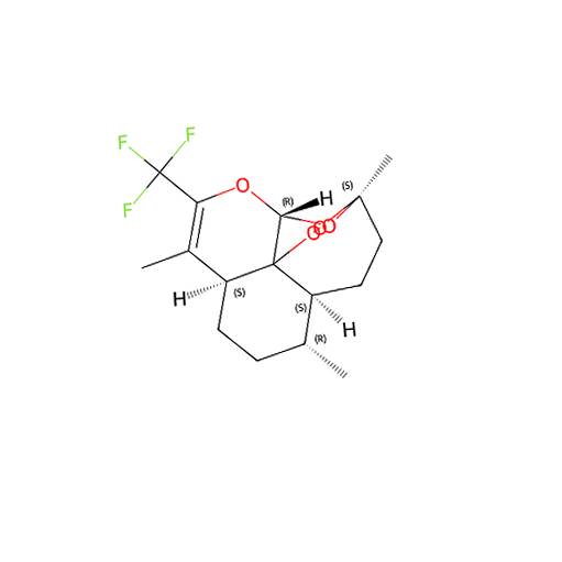 CC1=C(C(F)(F)F)O[C@@H]2O[C@]3(C)CC[C@H]4[C@H](C)CC[C@@H]1C24OO3